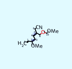 C=C/C(=C\C=C(\CC#N)COCOC)OC